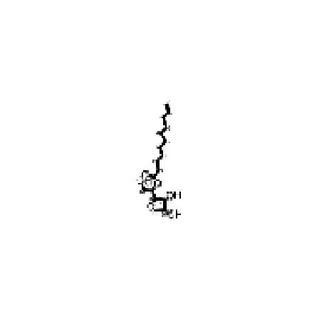 C=CCCCCCCCCC(=O)OC(CO)C1OCC(O)C1O